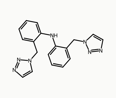 c1ccc(Nc2ccccc2Cn2ccnn2)c(Cn2ccnn2)c1